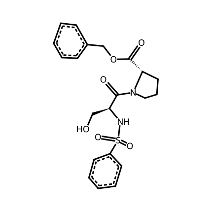 O=C(OCc1ccccc1)[C@@H]1CCCN1C(=O)[C@H](CO)NS(=O)(=O)c1ccccc1